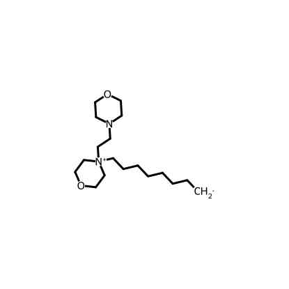 [CH2]CCCCCCC[N+]1(CCN2CCOCC2)CCOCC1